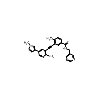 Cc1ccc(C(=O)NCc2cncnc2)cc1C#Cc1cc(-c2cnn(C)c2)cnc1N